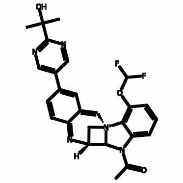 CC(=O)N1c2cccc(OC(F)F)c2[N@+]23C=c4cc(-c5cnc(C(C)(C)O)nc5)ccc4=N[C@H](C2)C13